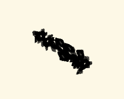 Cc1ccc(-c2ccc(CC[C@@H](O)C(CCn3nnc4c(C)cccc4c3=O)C(=O)O)cc2)cn1